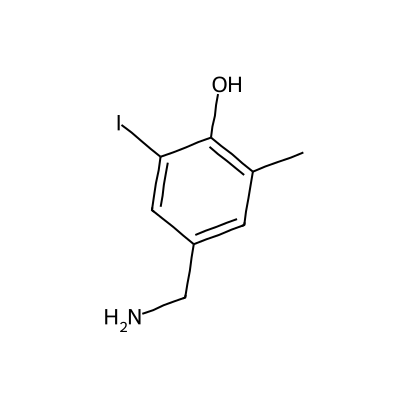 Cc1cc(CN)cc(I)c1O